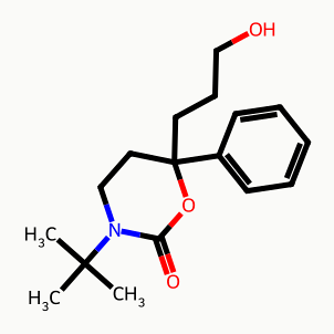 CC(C)(C)N1CCC(CCCO)(c2ccccc2)OC1=O